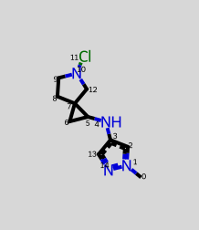 Cn1cc(NC2CC23CCN(Cl)C3)cn1